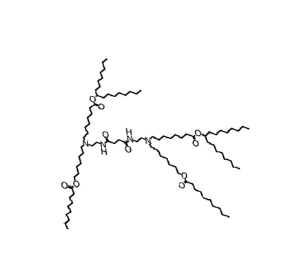 CCCCCCCCCC(=O)OCCCCCCCN(CCCCCCCC(=O)OC(CCCCCCCC)CCCCCCCC)CCNC(=O)CCC(=O)NCCN(CCCCCCCOC(=O)CCCCCCCCC)CCCCCCCC(=O)OC(CCCCCCCC)CCCCCCCC